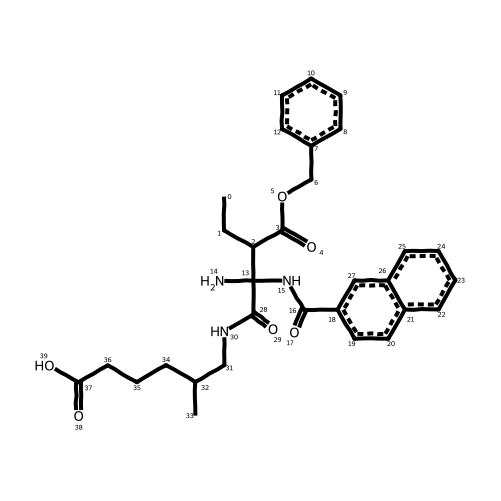 CCC(C(=O)OCc1ccccc1)C(N)(NC(=O)c1ccc2ccccc2c1)C(=O)NCC(C)CCCC(=O)O